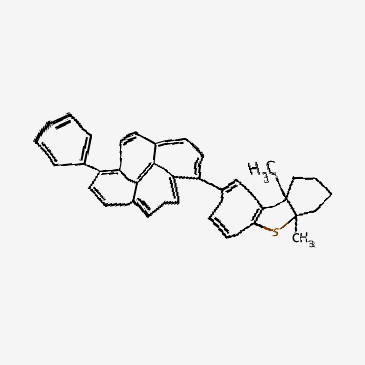 CC12CCCCC1(C)c1cc(-c3ccc4ccc5c(-c6ccccc6)ccc6ccc3c4c65)ccc1S2